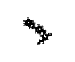 CCCC1CC(=O)N(Cc2ccc(NCc3ccccc3)nc2)C1